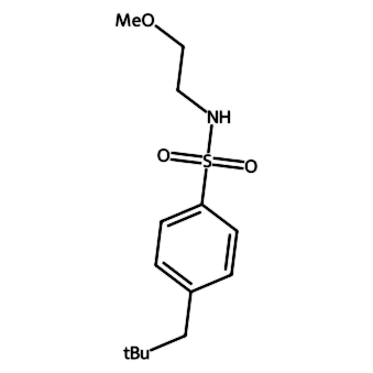 COCCNS(=O)(=O)c1ccc(CC(C)(C)C)cc1